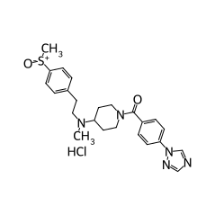 CN(CCc1ccc([S+](C)[O-])cc1)C1CCN(C(=O)c2ccc(-n3cncn3)cc2)CC1.Cl